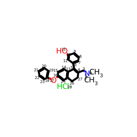 CN(C)CC1=C(c2cccc(O)c2)c2ccc(Oc3ccccc3)cc2CC1.Cl